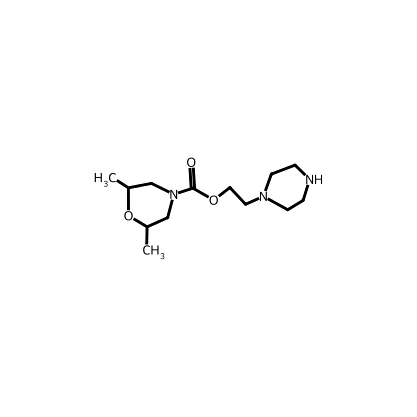 CC1CN(C(=O)OCCN2CCNCC2)CC(C)O1